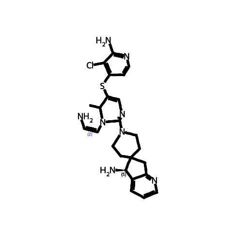 CC1C(Sc2ccnc(N)c2Cl)=CN=C(N2CCC3(CC2)Cc2ncccc2[C@H]3N)N1/C=C\N